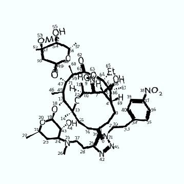 C=C1CC[C@@H]2[C@@H](C)/C(=N/O)[C@H](C)C[C@@](C)(CC1)[C@H](O[C@@H]1O[C@H](C)CC(N(C)CCc3cn(CCc4ccc([N+](=O)[O-])cc4)nn3)[C@H]1O)[C@@H](C)[C@H](OC1C[C@@](C)(OC)[C@@H](O)[C@H](C)O1)[C@@H](C)C(=O)O[C@H](CC)[C@@]2(C)O